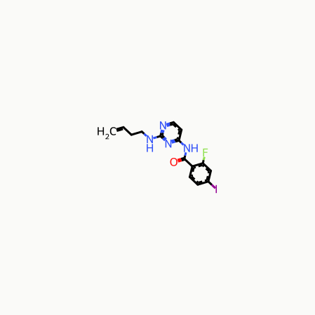 C=CCCNc1nccc(NC(=O)c2ccc(I)cc2F)n1